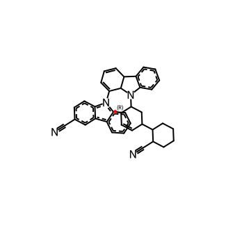 C[C@@H]1C=CC(C2CCCCC2C#N)CC1N1c2ccccc2C2C=CC=C(n3c4ccccc4c4cc(C#N)ccc43)C21